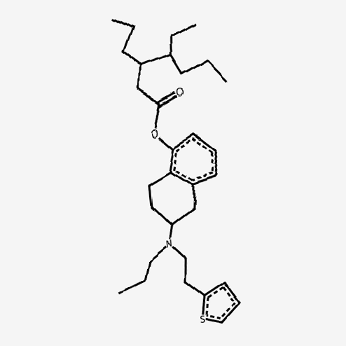 CCCC(CC)C(CCC)CC(=O)Oc1cccc2c1CCC(N(CCC)CCc1cccs1)C2